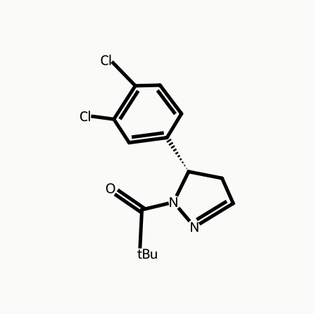 CC(C)(C)C(=O)N1N=CC[C@H]1c1ccc(Cl)c(Cl)c1